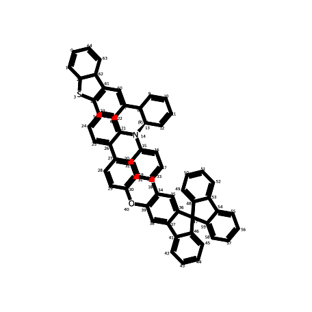 C1=CC2Sc3ccc(C4C=CC=C[C@H]4N(c4ccccc4)c4ccccc4-c4ccc5c(c4)Oc4cc6c(cc4O5)-c4ccccc4C64c5ccccc5-c5ccccc54)cc3C2C=C1